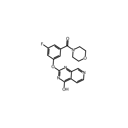 O=C(c1cc(F)cc(Oc2nc(O)c3ccncc3n2)c1)N1CCOCC1